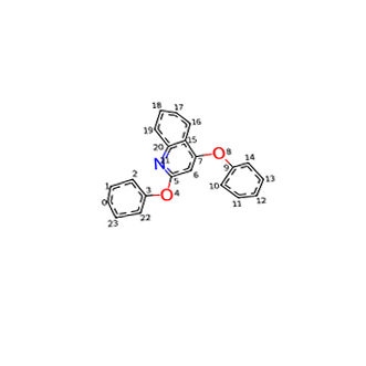 c1ccc(Oc2cc(Oc3ccccc3)c3ccccc3n2)cc1